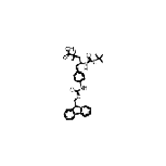 CC(C)(C)OC(=O)NC(Cc1ccc(NC(=O)OCC2c3ccccc3-c3ccccc32)cc1)CC(C)(C)C(=O)O